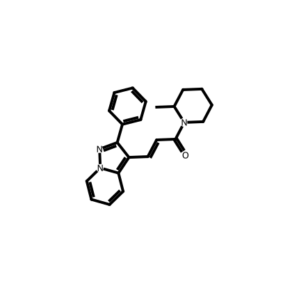 CC1CCCCN1C(=O)C=Cc1c(-c2ccccc2)nn2ccccc12